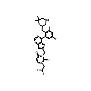 Cc1cc(Cl)cc(-c2ncnc3cc(Cn4c(=O)ccn(CC(F)F)c4=O)sc23)c1CC1CNCC(C)(C)O1